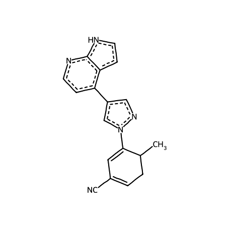 CC1CC=C(C#N)C=C1n1cc(-c2ccnc3[nH]ccc23)cn1